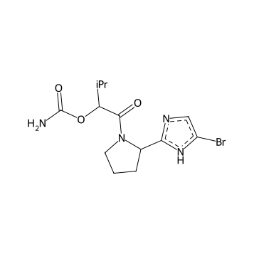 CC(C)C(OC(N)=O)C(=O)N1CCCC1c1ncc(Br)[nH]1